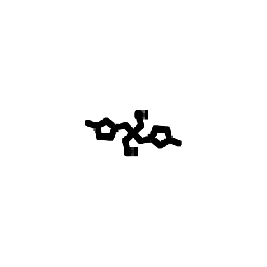 CN1C=CN(CC(CO)(CO)CN2C=CN(C)C2)C1